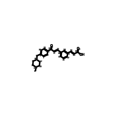 CN1CCN(Cc2ccc(C(=O)C=Cc3cccc(C=CC(=O)O)c3)cc2)CC1